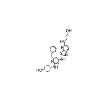 OCCCNc1ccc2nc(Nc3cc(Cc4ccccc4)nc(N[C@H]4CC[C@H](O)CC4)n3)sc2n1